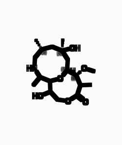 CO[C@@H]1C(C)C(=O)OCC(O)C2O[C@@H]1C[C@](C)(O)C[C@@H](C)CNC2C